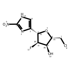 O=[N+]([O-])c1nc([C@@H]2O[C@H](CCl)[C@@H](O)[C@H]2F)c[nH]1